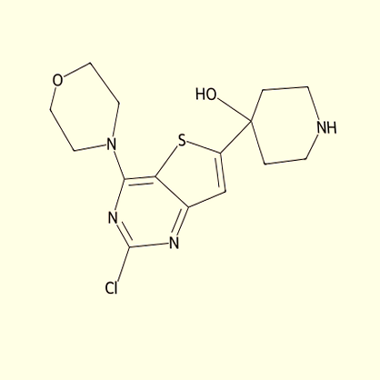 OC1(c2cc3nc(Cl)nc(N4CCOCC4)c3s2)CCNCC1